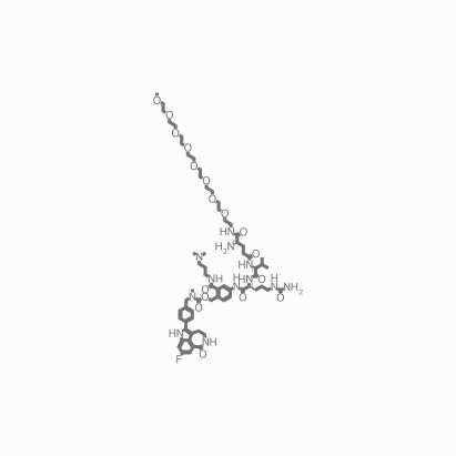 COCCOCCOCCOCCOCCOCCOCCOCCNC(=O)[C@@H](N)CCC(=O)N[C@H](C(=O)N[C@@H](CCCNC(N)=O)C(=O)Nc1ccc(COC(=O)N(C)Cc2ccc(-c3[nH]c4cc(F)cc5c4c3CCNC5=O)cc2)c(C(=O)NCCCN(C)C)c1)C(C)C